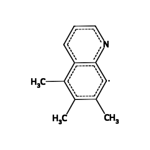 Cc1[c]c2ncccc2c(C)c1C